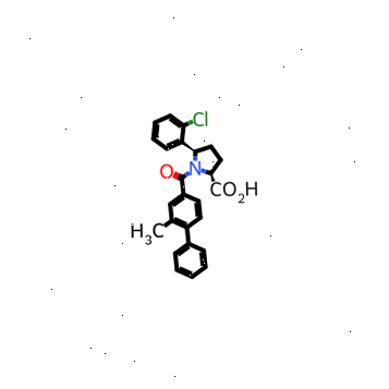 Cc1cc(C(=O)N2[C@@H](c3ccccc3Cl)CC[C@H]2C(=O)O)ccc1-c1ccccc1